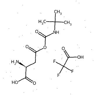 CC(C)(C)NC(=O)OC(=O)C[C@H](N)C(=O)O.O=C(O)C(F)(F)F